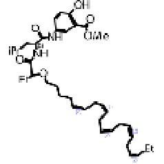 CC/C=C\C/C=C\C/C=C\C/C=C\C/C=C\CCCCOC(CC)C(=O)N[C@@H](CC(C)C)C(=O)Nc1ccc(O)c(C(=O)OC)c1